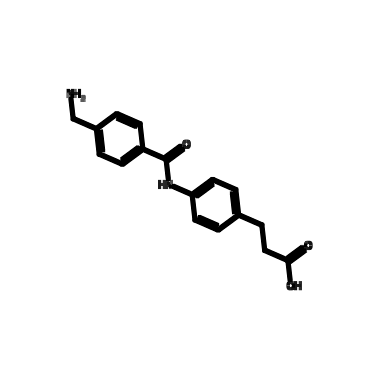 NCc1ccc(C(=O)Nc2ccc(CCC(=O)O)cc2)cc1